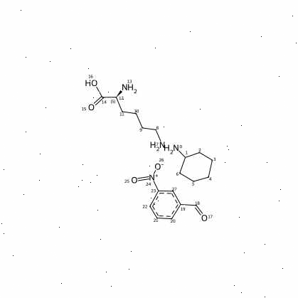 NC1CCCCC1.NCCCC[C@H](N)C(=O)O.O=Cc1cccc([N+](=O)[O-])c1